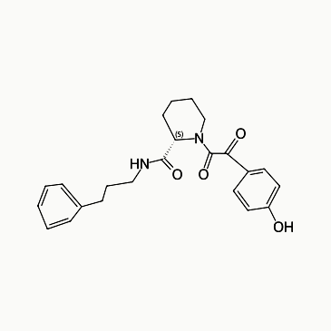 O=C(C(=O)N1CCCC[C@H]1C(=O)NCCCc1ccccc1)c1ccc(O)cc1